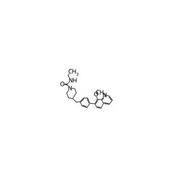 CCNC(=O)N1CCC(Cc2ccc(-c3ccc4cccnc4c3OC)cc2)CC1